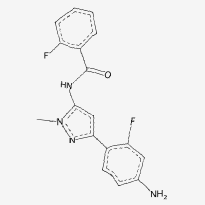 Cn1nc(-c2ccc(N)cc2F)cc1NC(=O)c1ccccc1F